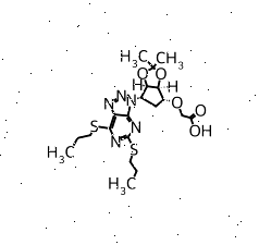 CCCSc1nc(SCCC)c2nnn([C@H]3C[C@@H](OCC(=O)O)[C@@H]4OC(C)(C)O[C@@H]43)c2n1